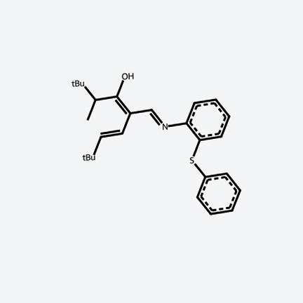 CC(/C(O)=C(\C=C\C(C)(C)C)/C=N/c1ccccc1Sc1ccccc1)C(C)(C)C